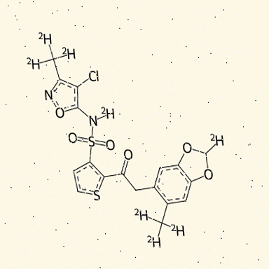 [2H]C1Oc2cc(CC(=O)c3sccc3S(=O)(=O)N([2H])c3onc(C([2H])([2H])[2H])c3Cl)c(C([2H])([2H])[2H])cc2O1